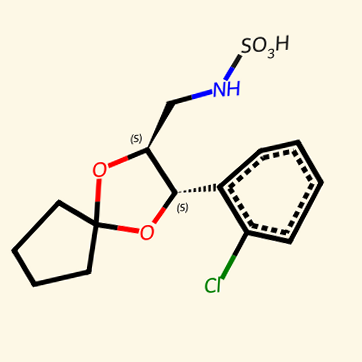 O=S(=O)(O)NC[C@@H]1OC2(CCCC2)O[C@H]1c1ccccc1Cl